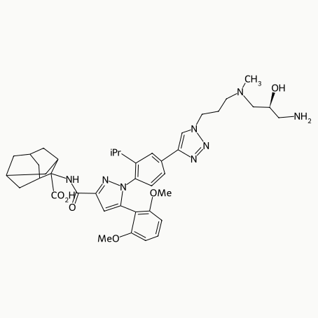 COc1cccc(OC)c1-c1cc(C(=O)NC2(C(=O)O)C3CC4CC(C3)CC2C4)nn1-c1ccc(-c2cn(CCCN(C)C[C@@H](O)CN)nn2)cc1C(C)C